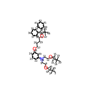 CC(C)(C)[Si](C)(C)OCCN(CCO[Si](C)(C)C(C)(C)C)c1cccc(OCCCCO[Si](c2ccccc2)(c2ccccc2)C(C)(C)C)c1